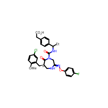 CCC(NC(=O)N1C/C(=N/Oc2ccc(F)cc2)NC[C@@H](Cc2cc(Cl)ccc2OC)C1=O)c1ccc(CC(=O)O)cc1